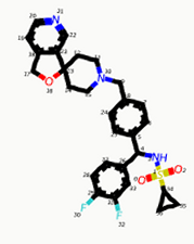 O=S(=O)(NC(c1ccc(CN2CCC3(CC2)OCc2ccncc23)cc1)c1ccc(F)c(F)c1)C1CC1